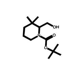 CC(C)(C)OC(=O)N1CCCC(C)(C)C1CO